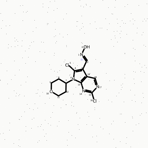 O/N=C/c1c(Cl)n(C2CCOCC2)c2nc(Cl)ncc12